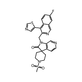 CS(=O)(=O)N1CCC2(CC1)C(=O)N(Cc1ncc3cc(F)ccc3c1-c1cncs1)c1cnccc12